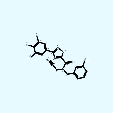 C#CCN(Cc1cccc(C(F)(F)F)c1)C(=O)c1nc(-c2cc(Cl)c(O)c(Cl)c2)no1